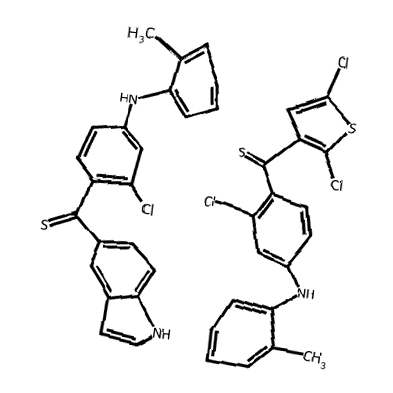 Cc1ccccc1Nc1ccc(C(=S)c2cc(Cl)sc2Cl)c(Cl)c1.Cc1ccccc1Nc1ccc(C(=S)c2ccc3[nH]ccc3c2)c(Cl)c1